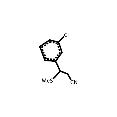 CSC(CC#N)c1cccc(Cl)c1